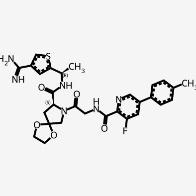 Cc1ccc(-c2cnc(C(=O)NCC(=O)N3CC4(C[C@H]3C(=O)N[C@H](C)c3cc(C(=N)N)cs3)OCCO4)c(F)c2)cc1